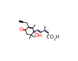 C#CCC1=C(C)[C@@](O)(/C=C/C(C)=C\C(=O)O)C(C)(C)CC1=O